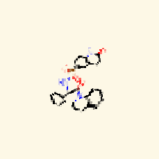 O=C1CCc2cc(S(=O)(=O)NC(C(=O)N3CCCc4ccccc43)c3ccccc3)ccc2N1